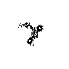 O=C(/N=C(/NCCc1c[nH]cn1)Nc1ccccc1)c1cccc(Cl)c1